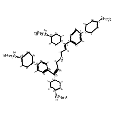 CCCCCCC[C@H]1CC[C@H](c2ccc(C(=CCOCC=C(c3ccc([C@H]4CC[C@H](CCCCCCC)CC4)cc3)[C@H]3CC[C@H](CCCCC)CC3)[C@H]3CC[C@H](CCCCC)CC3)cc2)CC1